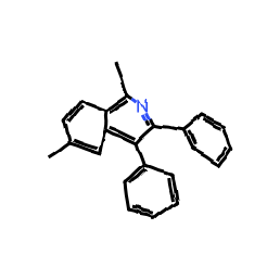 Cc1ccc2c(C)nc(-c3ccccc3)c(-c3ccccc3)c2c1